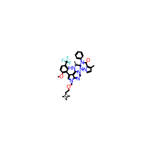 COc1ccc(C(F)(F)F)cc1-c1cn(COCC[Si](C)(C)C)c2ncnc(N[C@@H](C)c3nn4ccc(C)c4c(=O)n3-c3ccccc3)c12